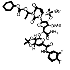 CO[C@H]1[C@@H](O[Si](C)(C)C(C)(C)C)[C@H](n2ccc(=O)n(C(C)OC(=O)OC3CCCCC3)c2=O)O[C@@H]1[C@@H](O[C@H]1OC(C(=O)Nc2ccc(F)c(F)c2)=C[C@@H]2OC(C)(C)O[C@H]12)C(N)=O